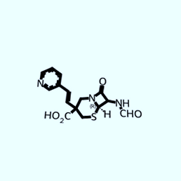 O=CNC1C(=O)N2CC(C=Cc3cccnc3)(C(=O)O)CS[C@H]12